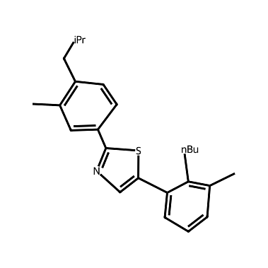 CCCCc1c(C)cccc1-c1cnc(-c2ccc(CC(C)C)c(C)c2)s1